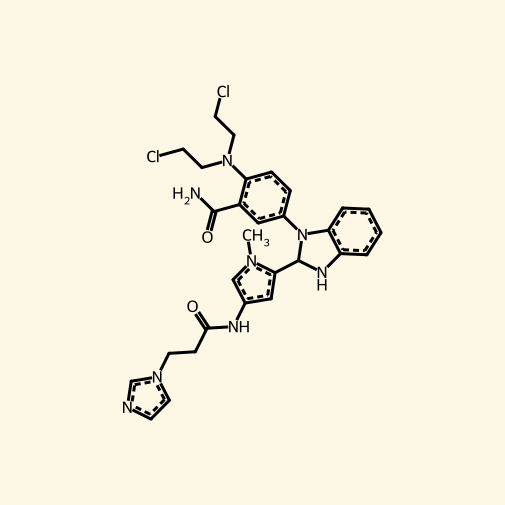 Cn1cc(NC(=O)CCn2ccnc2)cc1C1Nc2ccccc2N1c1ccc(N(CCCl)CCCl)c(C(N)=O)c1